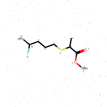 CCCCOC(=O)C(C)SCCCC(F)CCC